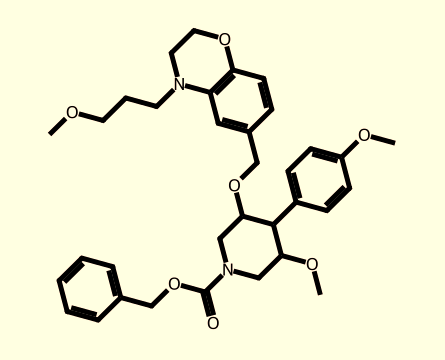 COCCCN1CCOc2ccc(COC3CN(C(=O)OCc4ccccc4)CC(OC)C3c3ccc(OC)cc3)cc21